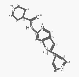 O=C(Nc1cc2[nH]c(-c3ccncc3)cc2cn1)C1CCOCC1